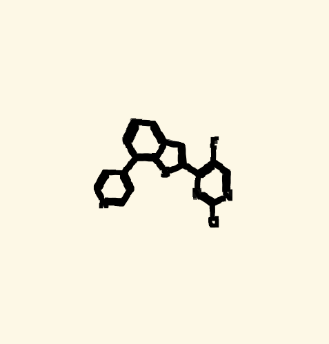 Fc1cnc(Cl)nc1-c1cc2cccc(-c3ccncc3)c2s1